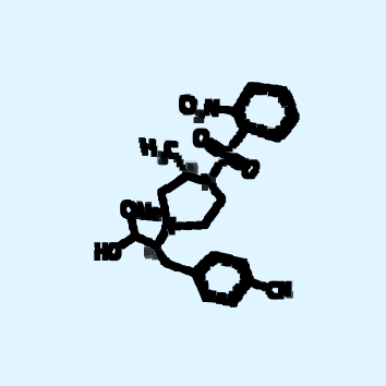 COC(O)[C@H](Cc1ccc(C#N)cc1)N1CCN(S(=O)(=O)c2ccccc2[N+](=O)[O-])[C@@H](C)C1